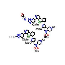 COc1nc(-c2cccc(-c3ccnc(-c4cc(OC)c5nc(C=O)nn5c4)c3Cl)c2Cl)ccc1CN(C(=O)OC(C)(C)C)C1CCN(C(C)=O)CC1.COc1nc(-c2cccc(-c3ccnc(-c4cc(OC)c5nc(CN6CC7(COC7)C6)nn5c4)c3Cl)c2Cl)ccc1CN(C(=O)OC(C)(C)C)C1CCN(C(C)=O)CC1